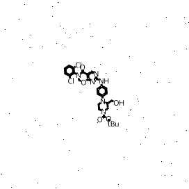 CC(C)(C)OC(=O)N1CCN(c2ccc(Nc3ncc4c(n3)OCN(c3c(Cl)cccc3Cl)C4=O)cc2)C(CO)C1